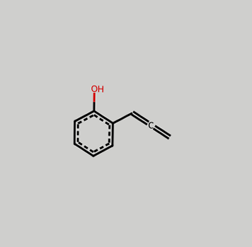 C=C=Cc1ccccc1O